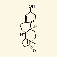 C[C@]12CC[C@@H]3C4=CCC(O)C=C4CC[C@H]3[C@@H]1CCC2=O